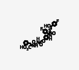 O=C(COc1ccc([C@]2(c3ccc(F)cc3)NC(=O)[C@@H]2SCC(O)c2ccc(F)cc2)cc1)NCC(=O)N[C@@H](Cc1ccccc1)C(=O)O